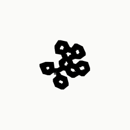 c1ccc(N(c2ccccc2)c2cc3c4ccccc4c4ccccc4c3c3c2ccc2ccccc23)cc1